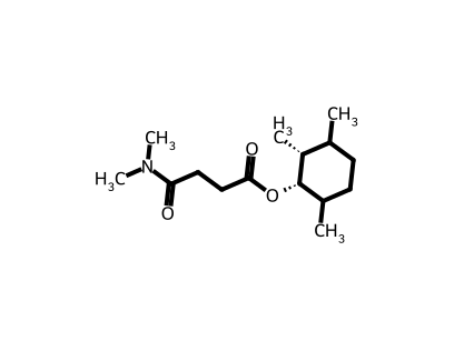 CC1CCC(C)[C@H](OC(=O)CCC(=O)N(C)C)[C@@H]1C